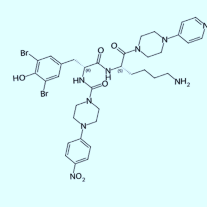 NCCCC[C@H](NC(=O)[C@@H](Cc1cc(Br)c(O)c(Br)c1)NC(=O)N1CCN(c2ccc([N+](=O)[O-])cc2)CC1)C(=O)N1CCN(c2ccncc2)CC1